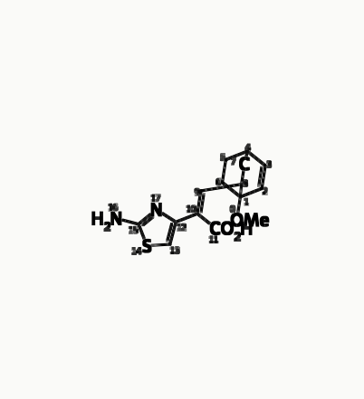 COC12C=CC(CC1)CC2/C=C(\C(=O)O)c1csc(N)n1